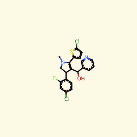 CN1CC(c2ccc(Cl)cc2F)C(C(O)c2cccnc2)=C1c1ccc(Cl)s1